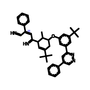 CC1C(Oc2cc(-c3cc(-c4ccccc4)cnn3)cc(C(C)(C)C)c2)CC(C(C)(C)C)=CC1C(=N)/C=C(\C=N)c1ccccc1